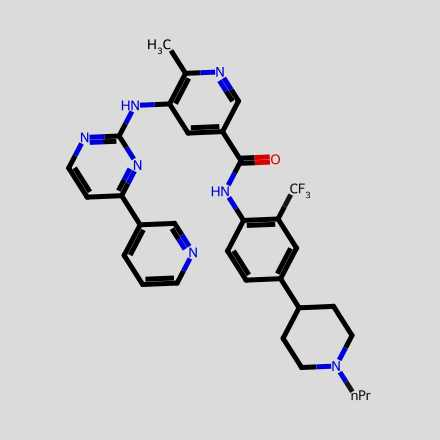 CCCN1CCC(c2ccc(NC(=O)c3cnc(C)c(Nc4nccc(-c5cccnc5)n4)c3)c(C(F)(F)F)c2)CC1